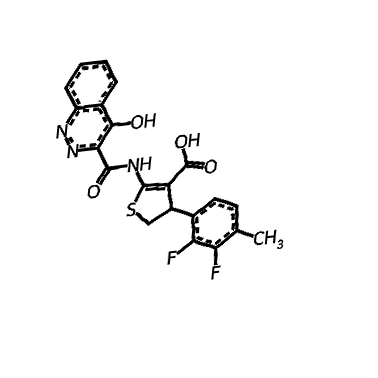 Cc1ccc(C2CSC(NC(=O)c3nnc4ccccc4c3O)=C2C(=O)O)c(F)c1F